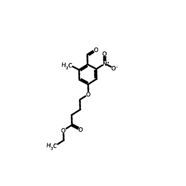 CCOC(=O)CCCOc1cc(C)c(C=O)c([N+](=O)[O-])c1